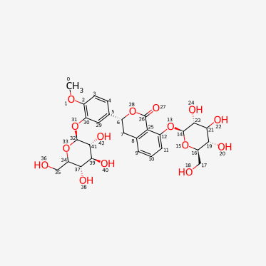 COc1ccc([C@H]2Cc3cccc(O[C@@H]4O[C@H](CO)[C@@H](O)C(O)[C@H]4O)c3C(=O)O2)cc1O[C@@H]1OC(CO)[C@@H](O)[C@H](O)[C@H]1O